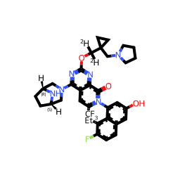 [2H]C([2H])(Oc1nc(N2C[C@H]3CC[C@@H](C2)N3)c2cc(C(F)(F)F)n(-c3cc(O)cc4ccc(F)c(CC)c34)c(=O)c2n1)C1(CN2CCCC2)CC1